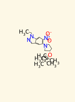 CCn1ncc2cc(N3CC[C@H](O[Si](C)(C)C(C)(C)C)C3)c([N+](=O)[O-])cc21